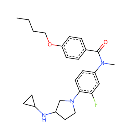 CCCCOc1ccc(C(=O)N(C)c2ccc(N3CCC(NC4CC4)C3)c(F)c2)cc1